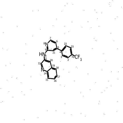 FC(F)(F)c1ccc(-c2ccnc(Nc3cnc4ccccc4c3)c2)cc1